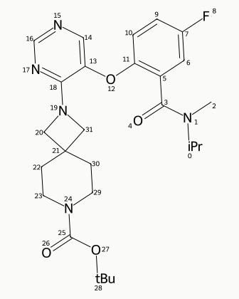 CC(C)N(C)C(=O)c1cc(F)ccc1Oc1cncnc1N1CC2(CCN(C(=O)OC(C)(C)C)CC2)C1